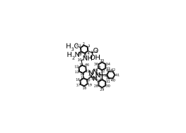 Cc1ccc(C(=O)O)c(NCc2ccc(-c3ccccc3-c3nnn(C(c4ccccc4)(c4ccccc4)c4ccccc4)n3)cc2)c1N